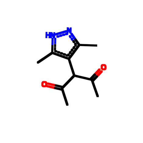 CC(=O)C(C(C)=O)c1c(C)n[nH]c1C